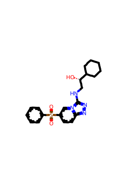 O=S(=O)(c1ccccc1)c1ccc2nnc(NC[C@H](O)C3CCCCC3)n2c1